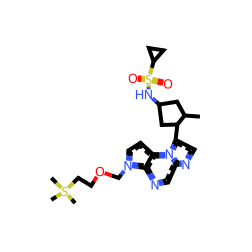 CC1CC(NS(=O)(=O)C2CC2)CC1c1cnc2cnc3c(ccn3COCCS(C)(C)C)n12